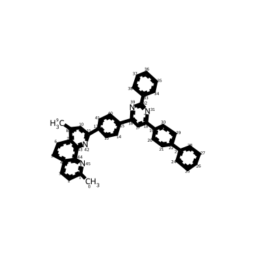 Cc1ccc2ccc3c(C)cc(-c4ccc(-c5cc(-c6ccc(-c7ccccc7)cc6)nc(-c6ccccc6)n5)cc4)nc3c2n1